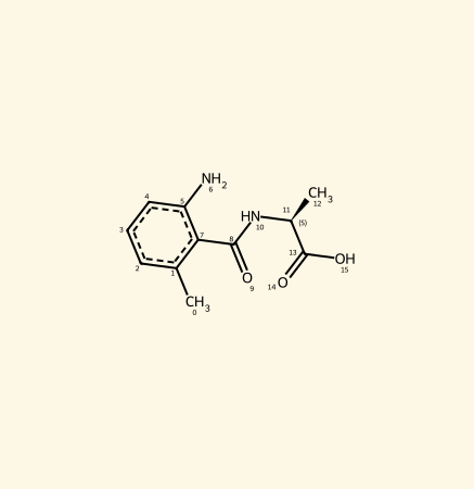 Cc1cccc(N)c1C(=O)N[C@@H](C)C(=O)O